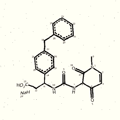 CN1C=CC(=O)C(NC(=O)NC(CC(=O)O)c2ccc(Cc3ccccc3)cc2)C1=O.[NaH]